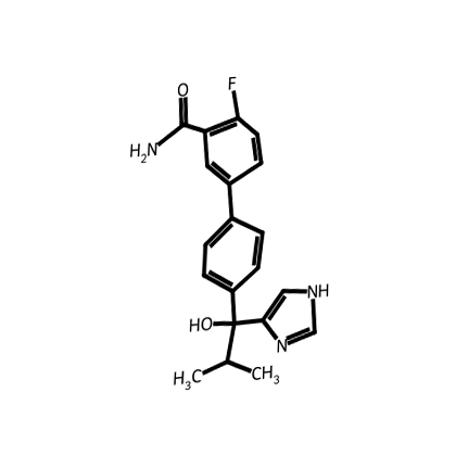 CC(C)C(O)(c1ccc(-c2ccc(F)c(C(N)=O)c2)cc1)c1c[nH]cn1